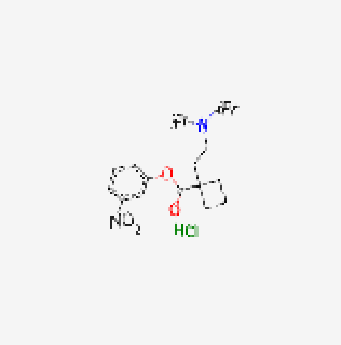 CC(C)N(CCC1(C(=O)Oc2cccc([N+](=O)[O-])c2)CCC1)C(C)C.Cl